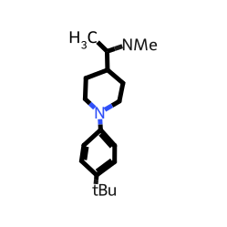 CNC(C)C1CCN(c2ccc(C(C)(C)C)cc2)CC1